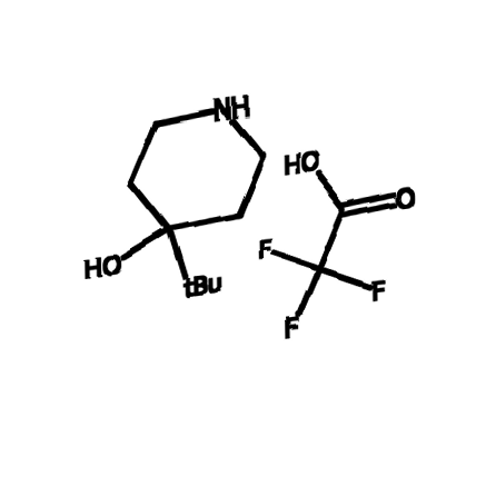 CC(C)(C)C1(O)CCNCC1.O=C(O)C(F)(F)F